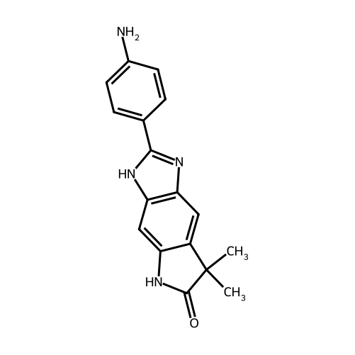 CC1(C)C(=O)Nc2cc3[nH]c(-c4ccc(N)cc4)nc3cc21